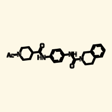 CC(=O)N1CCC(C(=O)Nc2ccc(NC(=O)N3CCc4ccccc4C3)cc2)CC1